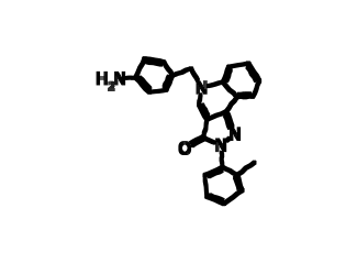 Cc1ccccc1-n1nc2c3ccccc3n(Cc3ccc(N)cc3)cc-2c1=O